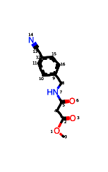 COC(=O)CC(=O)NCc1ccc(C#N)cc1